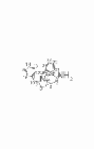 NC1CCC2(CC1)CCC(Cc1ccccc1)N2Cc1ccccc1